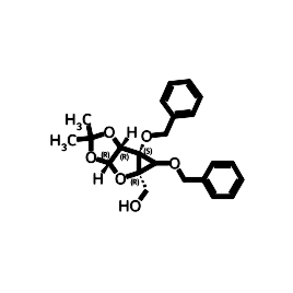 CC1(C)O[C@H]2O[C@]3(CO)C(OCc4ccccc4)[C@]3(OCc3ccccc3)[C@H]2O1